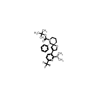 CN(C)c1nc(C(F)(F)F)ccc1C1=C[C@@]2(CCCN(C(=O)OC(C)(C)C)[C@H]2c2ccccc2)OC1